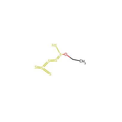 CCOS(S)=S=S=S(=S)=S